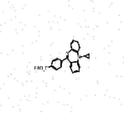 CCOC(=O)c1ccc(C2=NC3=C(CCC=C3)N(C3CC3)c3ccccc32)cc1